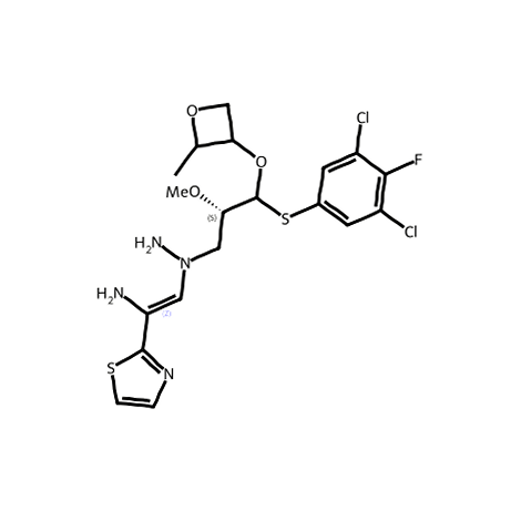 CO[C@@H](CN(N)/C=C(\N)c1nccs1)C(OC1COC1C)Sc1cc(Cl)c(F)c(Cl)c1